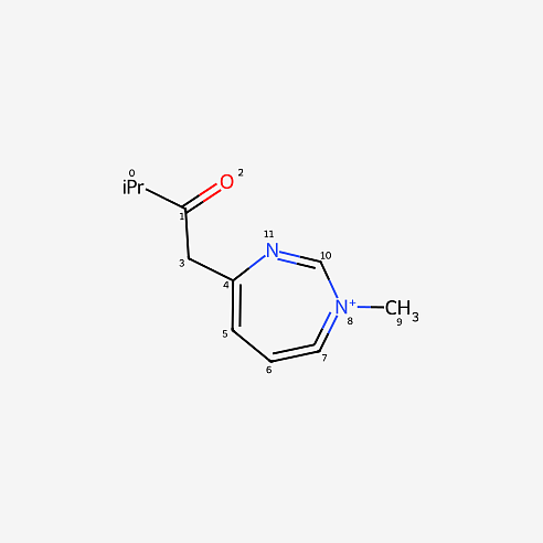 CC(C)C(=O)CC1=CC=C=[N+](C)C=N1